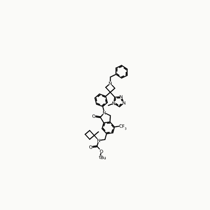 Cn1cnnc1C1(c2cccc(N3Cc4c(cc(CN(C(=O)OC(C)(C)C)C5(C)CCC5)cc4C(F)(F)F)C3=O)c2)CN(Cc2ccccc2)C1